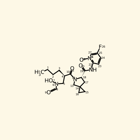 CCCC[C@H](CN(O)C=O)C(=O)N1CC2(CC2)C[C@H]1C(=O)Nc1ccc(F)c[n+]1[O-]